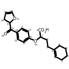 O=C(O)C(CCC1=CCCCC1)Oc1ccc(C(=O)C2CC=CO2)cc1